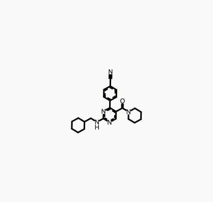 N#Cc1ccc(-c2nc(NCC3CCCCC3)ncc2C(=O)N2CCCCC2)cc1